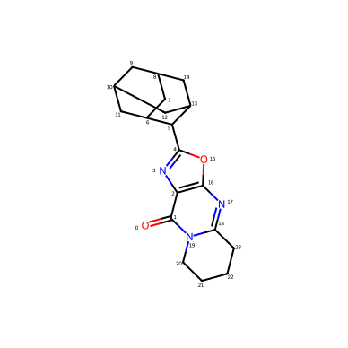 O=c1c2nc(C3C4CC5CC(C4)CC3C5)oc2nc2n1CCCC2